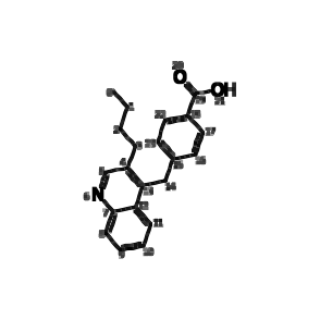 CCCCc1cnc2ccccc2c1Cc1ccc(C(=O)O)cc1